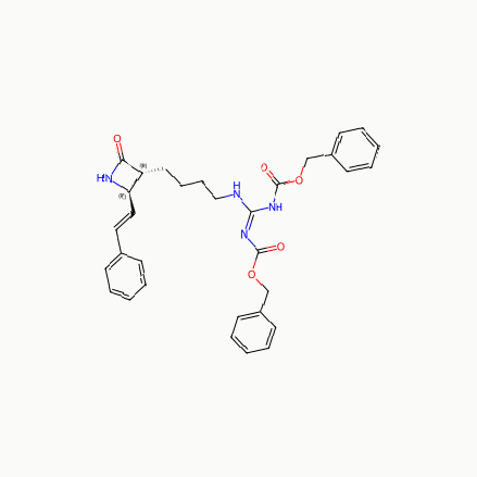 O=C(N=C(NCCCC[C@H]1C(=O)N[C@@H]1C=Cc1ccccc1)NC(=O)OCc1ccccc1)OCc1ccccc1